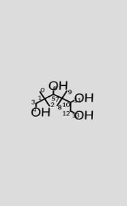 CC(C)(CO)C(O)C(C)(C)C(O)CO